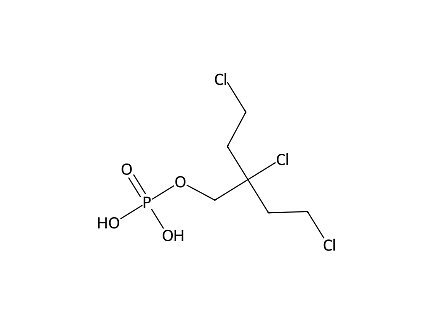 O=P(O)(O)OCC(Cl)(CCCl)CCCl